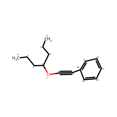 CCCC(CCC)OC#Cc1ccccc1